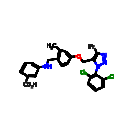 Cc1cc(OCc2c(C(C)C)nnn2-c2c(Cl)cccc2Cl)ccc1CNc1cccc(C(=O)O)c1